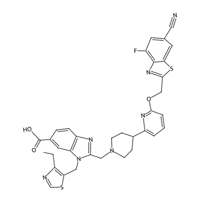 CCc1ncsc1Cn1c(CN2CCC(c3cccc(OCc4nc5c(F)cc(C#N)cc5s4)n3)CC2)nc2ccc(C(=O)O)cc21